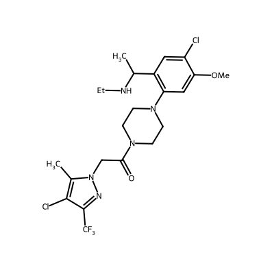 CCNC(C)c1cc(Cl)c(OC)cc1N1CCN(C(=O)Cn2nc(C(F)(F)F)c(Cl)c2C)CC1